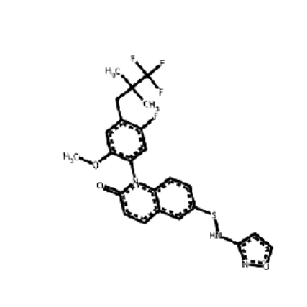 COc1cc(CC(C)(C)C(F)(F)F)c(F)cc1-n1c(=O)ccc2cc(SNc3ccon3)ccc21